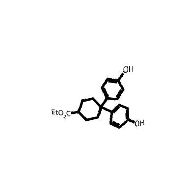 CCOC(=O)C1CCC(c2ccc(O)cc2)(c2ccc(O)cc2)CC1